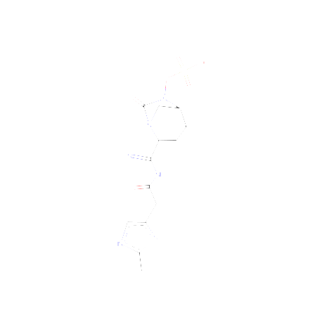 Cc1nc(CC(=O)NC(=N)C2CCC3CN2C(=O)N3OS(=O)(=O)O)c[nH]1